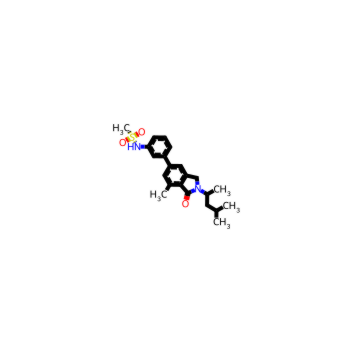 Cc1cc(-c2cccc(NS(C)(=O)=O)c2)cc2c1C(=O)N(C(C)CC(C)C)C2